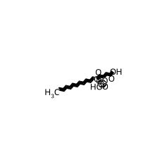 CCCCCCCCCCCCOC(=O)C(CC(=O)O)OS(=O)(=O)O